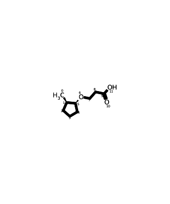 C[C@@H]1CCC[C@H]1OCCC(=O)O